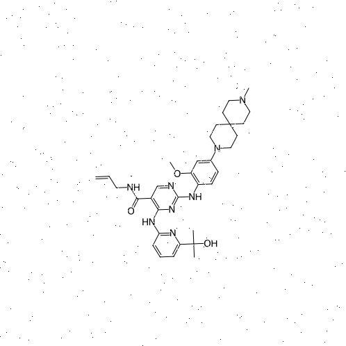 C=CCNC(=O)c1cnc(Nc2ccc(N3CCC4(CCN(C)CC4)CC3)cc2OC)nc1Nc1cccc(C(C)(C)O)n1